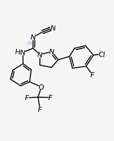 N#C/N=C(/Nc1cccc(OC(F)(F)F)c1)N1CCC(c2ccc(Cl)c(F)c2)=N1